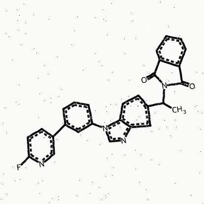 CC(c1ccc2c(c1)ncn2-c1cccc(-c2ccc(F)nc2)c1)N1C(=O)c2ccccc2C1=O